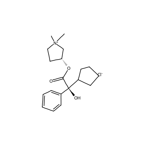 C[N+]1(C)CC[C@@H](OC(=O)[C@@](O)(c2ccccc2)C2CCCC2)C1.[Cl-]